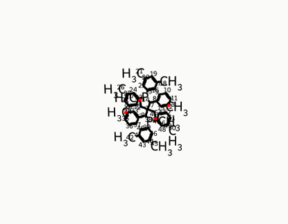 CCCC(CCC)(C(c1ccccc1)P(c1cc(C)cc(C)c1)c1cc(C)cc(C)c1)C(c1ccccc1)P(c1cc(C)cc(C)c1)c1cc(C)cc(C)c1